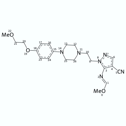 COC=Nc1c(C#N)cnn1CCN1CCN(c2ccc(OCCOC)cc2)CC1